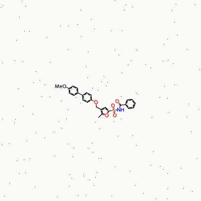 COc1ccc(-c2ccc(OCc3cc(S(=O)(=O)NC(=O)c4ccccc4)oc3C)cc2)cc1